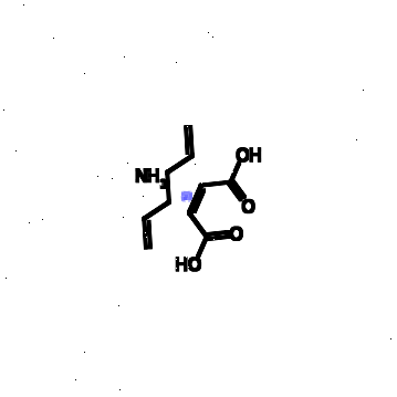 C=CCCC=C.N.O=C(O)/C=C\C(=O)O